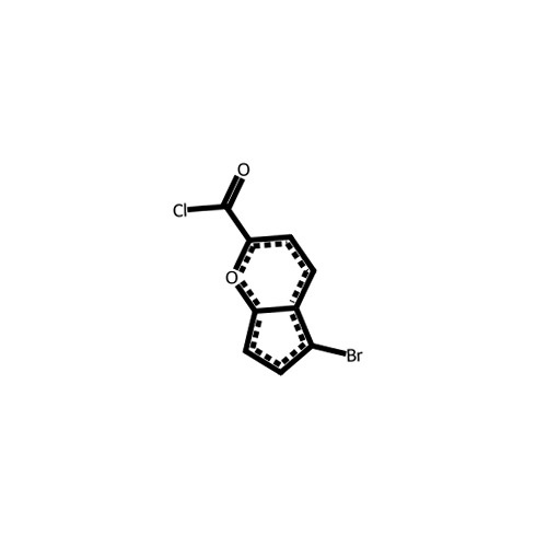 O=C(Cl)c1ccc2c(Br)ccc-2o1